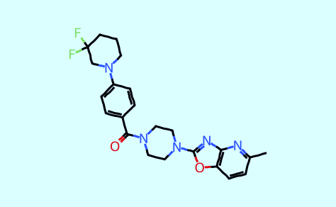 Cc1ccc2oc(N3CCN(C(=O)c4ccc(N5CCCC(F)(F)C5)cc4)CC3)nc2n1